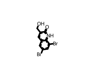 O=c1[nH]c2c(Br)cc(Br)cc2cc1CO